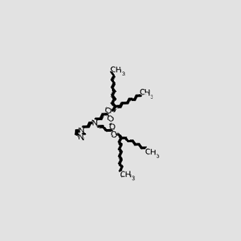 CCCCCCCCCCC(CCCCCCCC)COC(=O)CCCN(CCCC(=O)OCC(CCCCCCCC)CCCCCCCCCC)CCCn1ccnc1